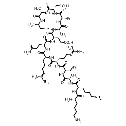 CC(C)C[C@H](NC(=O)[C@H](C)NC(=O)[C@H](CC(=O)O)NC(=O)[C@@H](NC(=O)[C@H](C)NC(=O)[C@H](CCC(=O)O)NC(=O)[C@H](CCC(N)=O)NC(=O)[C@H](CCCN=C(N)N)NC(=O)[C@H](CCCN=C(N)N)NC(=O)[C@H](CC(C)C)NC(=O)[C@H](C)NC(=O)[C@H](CCCCN)NC(=O)[C@@H](N)CCCCN)C(C)C)C(=O)O